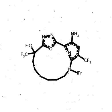 CC(C)N1CCCCCCC(O)(C(F)(F)F)c2nnc(o2)-c2nc1c(C(F)(F)F)cc2N